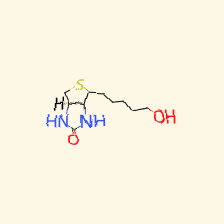 O=C1NC2C(CCCCCO)SC[C@@H]2N1